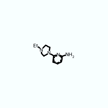 CCN1CCN(c2cccc(N)n2)CC1